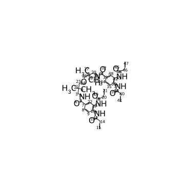 CC(C)(CNC(=O)c1ccc(NC(=O)CI)c(NC(=O)CI)c1)COCC(C)(C)CNC(=O)c1ccc(NC(=O)CI)c(NC(=O)CI)c1